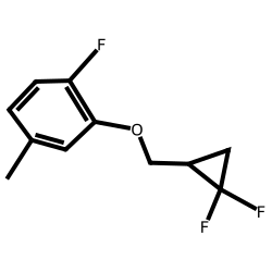 Cc1ccc(F)c(OCC2CC2(F)F)c1